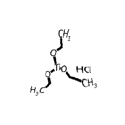 CC[O][Ti]([O]CC)[O]CC.Cl